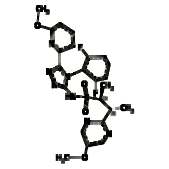 COc1cnc([C@@H](C)[C@H](C)S(=O)(=O)Nc2nnc(-c3cccc(OC)n3)n2-c2c(F)cccc2F)nc1